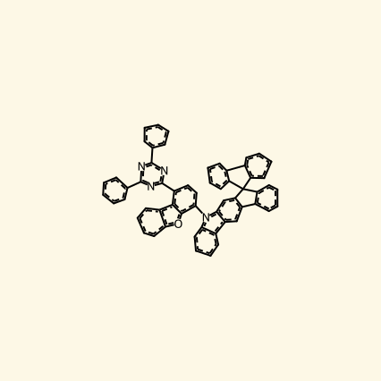 c1ccc(-c2nc(-c3ccccc3)nc(-c3ccc(-n4c5ccccc5c5cc6c(cc54)C4(c5ccccc5-c5ccccc54)c4ccccc4-6)c4oc5ccccc5c34)n2)cc1